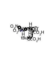 CC(C)CC(NC(=O)Cc1ccc(N/C(=C/[N+](=O)[O-])Nc2ccc([N+](=O)[O-])cc2)cc1)C(=O)NC(CC#CCC(NC(=O)CC(C)(C)C)C(=O)O)C(=O)O